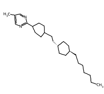 CCCCCCC[C@H]1CC[C@H](CCC2CCC(c3ncc(C)cn3)CC2)CC1